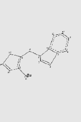 CCCCC1=C(CC2C=Cc3ccccc32)CC=C1